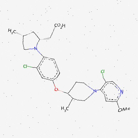 COc1cc(N2CCC(Oc3ccc(N4C[C@H](C)C[C@@H]4CC(=O)O)c(Cl)c3)C(C)C2)c(Cl)cn1